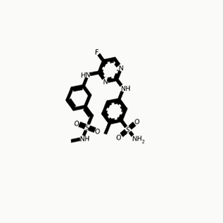 CNS(=O)(=O)/C=C1\C=CC=C(Nc2nc(Nc3ccc(C)c(S(N)(=O)=O)c3)ncc2F)C1